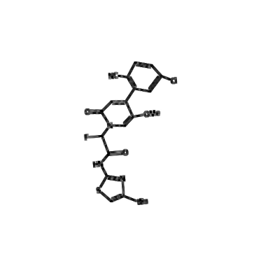 COc1cn(C(F)C(=O)Nc2nc(C(C)(C)C)cs2)c(=O)cc1-c1cc(Cl)ccc1C#N